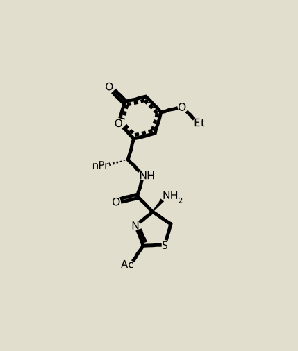 CCC[C@@H](NC(=O)[C@]1(N)CSC(C(C)=O)=N1)c1cc(OCC)cc(=O)o1